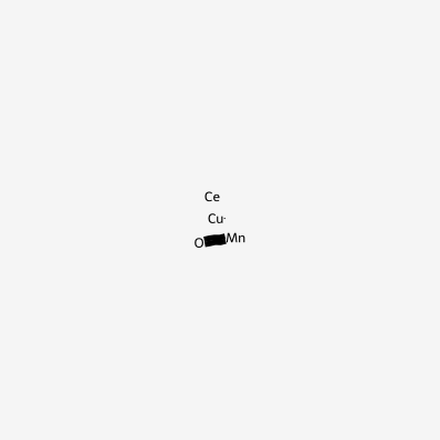 [Ce].[Cu].[O]=[Mn]